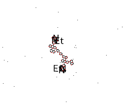 CCc1nc2ccccc2n1-c1ccc(-c2c3ccccc3c(-c3cccc4ccccc34)c3cc(-c4ccc(-c5ccc(-c6ccc7c(-c8c9ccccc9c(-c9ccc(-n%10c(CC)nc%11ccccc%11%10)cc9)c9ccc(-c%10cccc%11ccccc%10%11)cc89)cccc7c6)cc5)cc4)ccc23)cc1